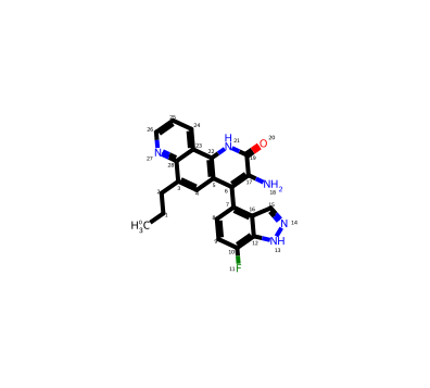 CCCc1cc2c(-c3ccc(F)c4[nH]ncc34)c(N)c(=O)[nH]c2c2cccnc12